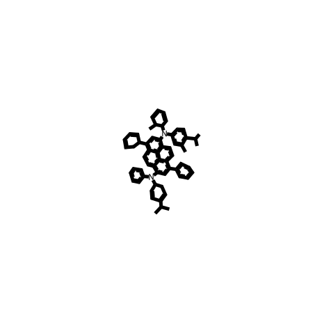 Cc1cc(N(c2cc(C3C=CC=CC3)c3ccc4c(N(c5ccccc5)C5C=CC(C(C)C)=CC5)cc(-c5ccccc5)c5ccc2c3c54)C2C=CC=CC2C)ccc1C(C)C